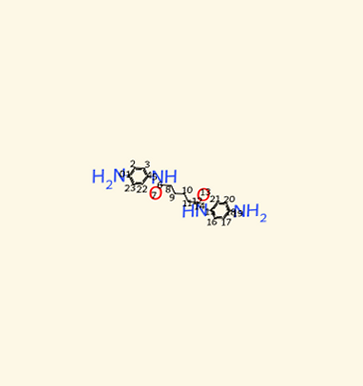 Nc1ccc(NC(=O)CCCCC(=O)Nc2ccc(N)cc2)cc1